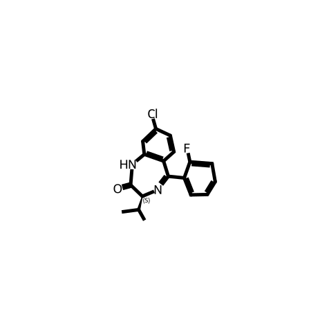 CC(C)[C@@H]1N=C(c2ccccc2F)c2ccc(Cl)cc2NC1=O